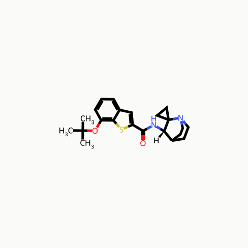 CC(C)(C)Oc1cccc2cc(C(=O)N[C@H]3C4CCN(CC4)C34CC4)sc12